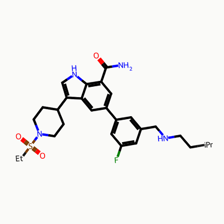 CCS(=O)(=O)N1CCC(c2c[nH]c3c(C(N)=O)cc(-c4cc(F)cc(CNCCC(C)C)c4)cc23)CC1